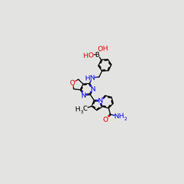 Cc1cc2c(C(N)=O)cccn2c1-c1nc2c(c(NCc3cccc(B(O)O)c3)n1)COC2